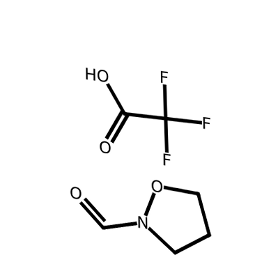 O=C(O)C(F)(F)F.O=CN1CCCO1